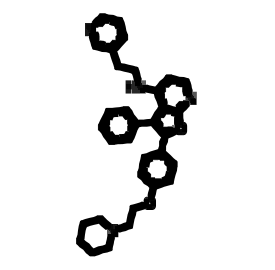 c1ccc(-c2c(-c3ccc(OCCN4CCCCC4)cc3)oc3nccc(NCCc4cccnc4)c23)cc1